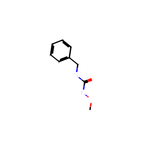 CONC(=O)[N]Cc1ccccc1